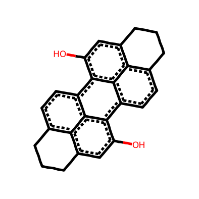 Oc1cc2c3c(ccc4c5c(O)cc6c7c(ccc(c1c34)c75)CCC6)CCC2